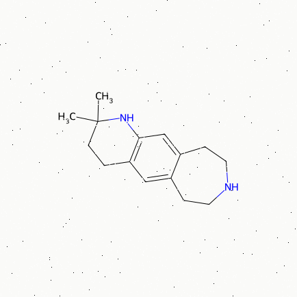 CC1(C)CCc2cc3c(cc2N1)CCNCC3